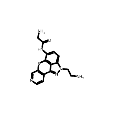 NCCn1nc2c3c(c(NC(=O)CN)ccc31)Sc1cnccc1-2